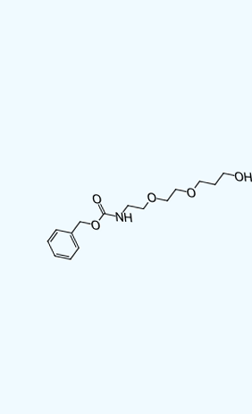 O=C(NCCOCCOCCCO)OCc1ccccc1